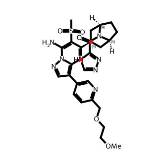 COCCOCc1ccc(-c2cnn3c(N)c(S(C)(=O)=O)c([C@H]4C[C@H]5CC[C@@H](C4)N5C(=O)c4nnc[nH]4)nc23)cn1